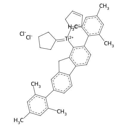 Cc1cc(C)c(-c2ccc3c(c2)Cc2c-3ccc(-c3c(C)cc(C)cc3C)[c]2[Ti+2]([C]2=CC=CC2)=[C]2CCCC2)c(C)c1.[Cl-].[Cl-]